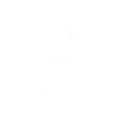 COc1ccc(NC(=O)C2=CNC(=O)CC2c2cccc(F)c2)cc1OC